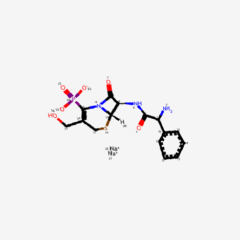 NC(C(=O)N[C@@H]1C(=O)N2C(P(=O)([O-])[O-])=C(CO)CS[C@@H]12)c1ccccc1.[Na+].[Na+]